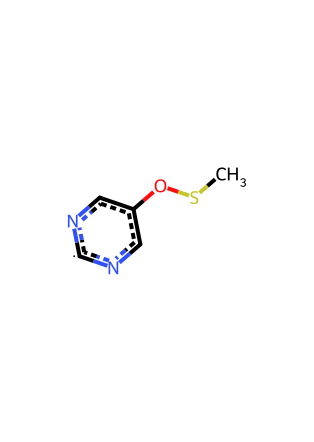 CSOc1cn[c]nc1